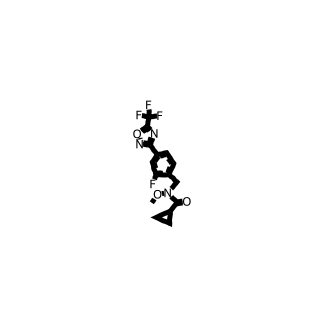 CON(Cc1ccc(-c2noc(C(F)(F)F)n2)cc1F)C(=O)C1CC1